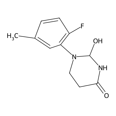 Cc1ccc(F)c(N2CCC(=O)NC2O)c1